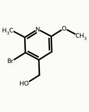 COc1cc(CO)c(Br)c(C)n1